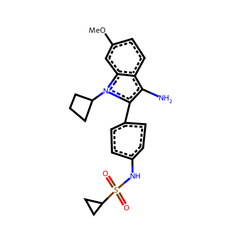 COc1ccc2c(N)c(-c3ccc(NS(=O)(=O)C4CC4)cc3)n(C3CCC3)c2c1